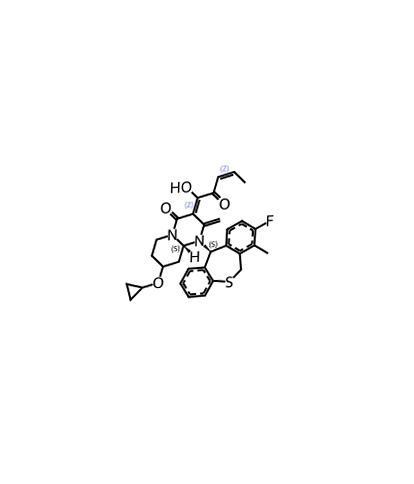 C=C1/C(=C(/O)C(=O)/C=C\C)C(=O)N2CCC(OC3CC3)C[C@H]2N1[C@@H]1c2ccccc2SCc2c1ccc(F)c2C